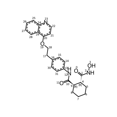 O=C(NO)[C@@H]1CCCC[C@H]1C(=O)Nc1ccc(CCOc2ccnc3ccccc23)cc1